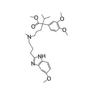 COC(=O)C(CCCN(C)CCCc1nc2cc(OC)ccc2[nH]1)(c1ccc(OC)c(OC)c1)C(C)C